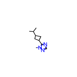 CC(C)C1CC(c2ncnn2C)C1